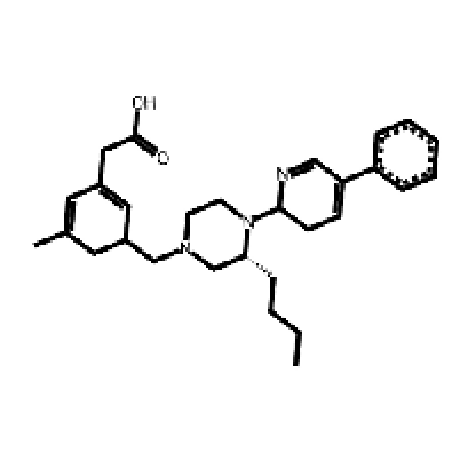 CCCC[C@@H]1CN(CC2C=C(CC(=O)O)C=C(C)C2)CCN1C1CC=C(c2ccccc2)C=N1